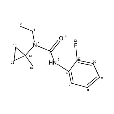 CCN(C(=O)Nc1ccccc1F)C1(C)CC1